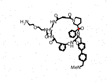 CNCc1ccc(-c2ccc(C[C@@H]3NC(=O)[C@]4(Cc5ccccc5)CCCN(C4)C(=O)/C=C/C(=O)NCC[C@@H](C(=O)NCCOCCN)NC(=O)Cc4ccccc4CNC3=O)cc2)cc1